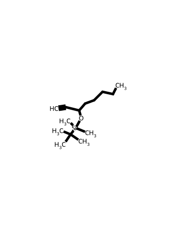 C#CC(CCCCC)O[Si](C)(C)C(C)(C)C